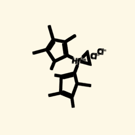 CC1=C(C)C(C)[C]([Hf+2]2([C]3=C(C)C(C)=C(C)C3C)[CH2][CH2]2)=C1C.[Cl-].[Cl-]